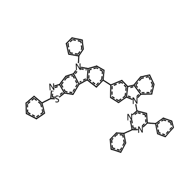 c1ccc(-c2cc(-n3c4ccccc4c4cc(-c5ccc6c(c5)c5cc7sc(-c8ccccc8)nc7cc5n6-c5ccccc5)ccc43)nc(-c3ccccc3)n2)cc1